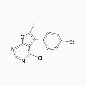 CCc1ccc(-c2c(I)oc3ncnc(Cl)c23)cc1